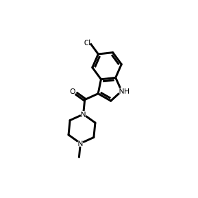 CN1CCN(C(=O)c2c[nH]c3ccc(Cl)cc23)CC1